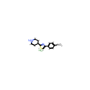 Cl.O=[N+]([O-])c1ccc(-c2csc(C3CCNCC3)n2)cc1